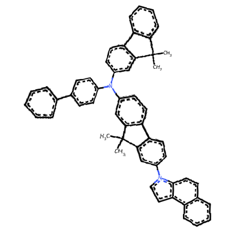 CC1(C)c2ccccc2-c2ccc(N(c3ccc(-c4ccccc4)cc3)c3ccc4c(c3)C(C)(C)c3cc(-n5ccc6c7ccccc7ccc65)ccc3-4)cc21